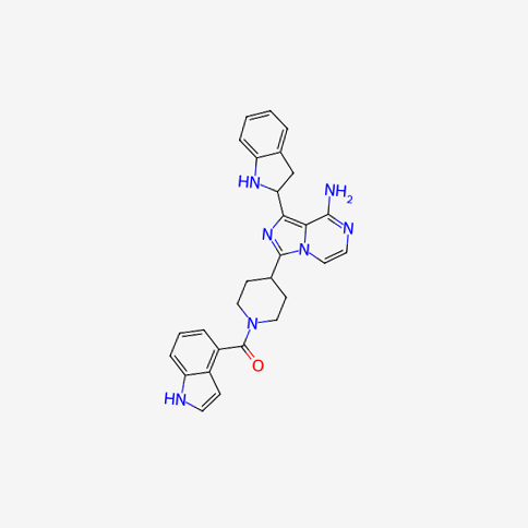 Nc1nccn2c(C3CCN(C(=O)c4cccc5[nH]ccc45)CC3)nc(C3Cc4ccccc4N3)c12